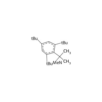 CNC(C)(C)c1c(C(C)(C)C)cc(C(C)(C)C)cc1C(C)(C)C